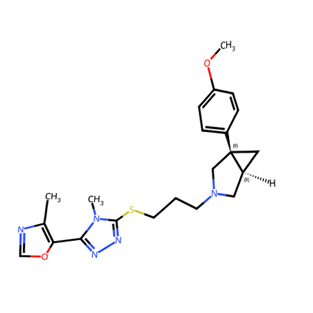 COc1ccc([C@@]23C[C@H]2CN(CCCSc2nnc(-c4ocnc4C)n2C)C3)cc1